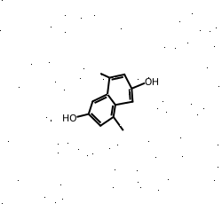 Cc1cc(O)cc2c(C)cc(O)cc12